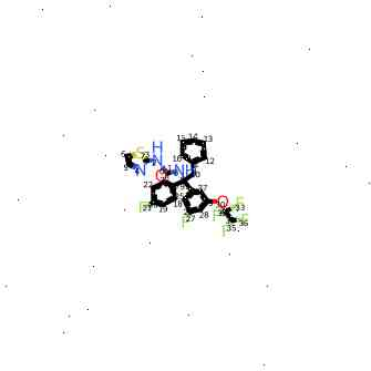 O=C(Nc1nccs1)NC(Cc1ccccc1)(c1ccc(F)cc1)c1cc(F)cc(OC(F)(F)C(F)F)c1